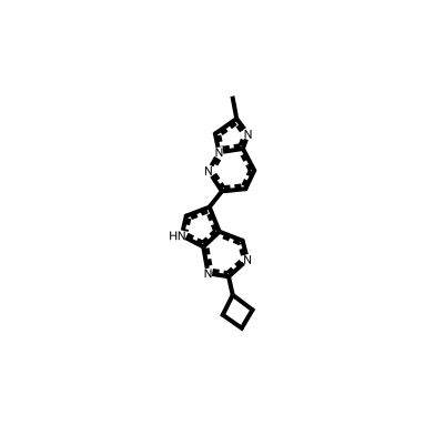 Cc1cn2nc(-c3c[nH]c4nc(C5CCC5)ncc34)ccc2n1